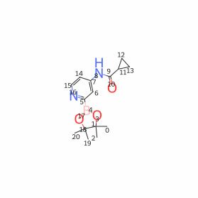 CC1(C)OB(c2cc(NC(=O)C3CC3)ccn2)OC1(C)C